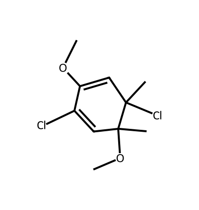 COC1=CC(C)(Cl)C(C)(OC)C=C1Cl